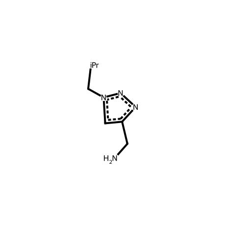 CC(C)Cn1cc(CN)nn1